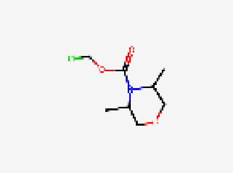 CC1COCC(C)N1C(=O)OCCl